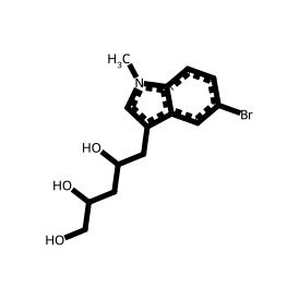 Cn1cc(CC(O)CC(O)CO)c2cc(Br)ccc21